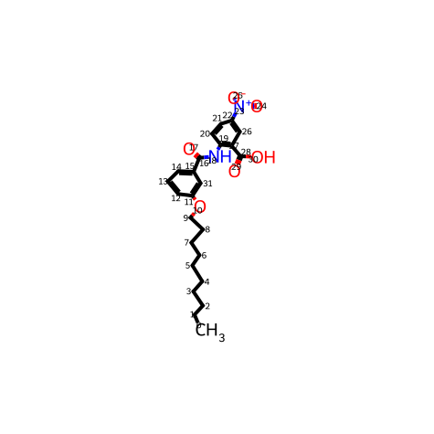 CCCCCCCCCCOc1cccc(C(=O)Nc2ccc([N+](=O)[O-])cc2C(=O)O)c1